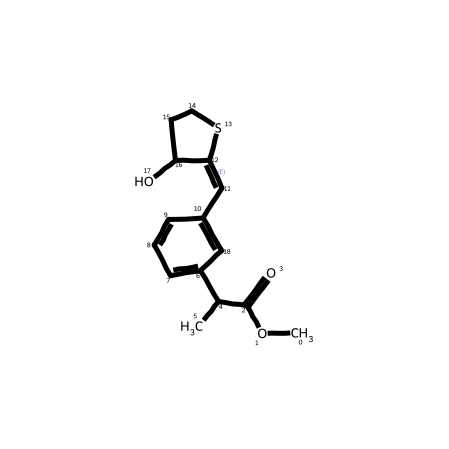 COC(=O)C(C)c1cccc(/C=C2/SCCC2O)c1